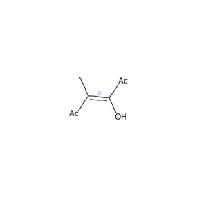 CC(=O)/C(C)=C(\O)C(C)=O